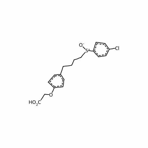 O=C(O)COc1ccc(CCCC[S+]([O-])c2ccc(Cl)cc2)cc1